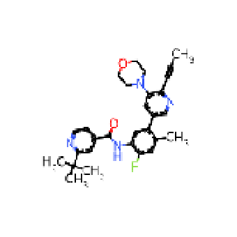 CC#Cc1ncc(-c2cc(NC(=O)c3ccnc(C(C)(C)C)c3)c(F)cc2C)cc1N1CCOCC1